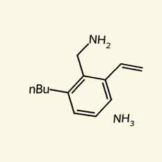 C=Cc1cccc(CCCC)c1CN.N